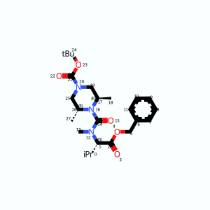 CC(C)[C@@H](C(=O)OCc1ccccc1)N(C)C(=O)N1[C@H](C)CN(C(=O)OC(C)(C)C)C[C@H]1C